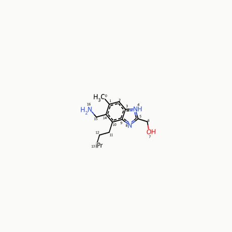 Cc1cc2[nH]c(CO)nc2c(CCC(C)C)c1CN